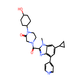 Cn1c(C(=O)N2CCN(C3CCC(O)CC3)C(=O)C2)nc2c(-c3ccncc3)cc(C3CC3)cc21